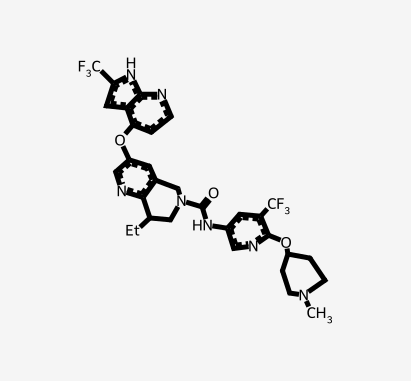 CCC1CN(C(=O)Nc2cnc(OC3CCN(C)CC3)c(C(F)(F)F)c2)Cc2cc(Oc3ccnc4[nH]c(C(F)(F)F)cc34)cnc21